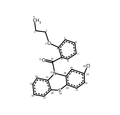 CCCOc1ccccc1C(=O)N1c2ccccc2Sc2ccc(Cl)cc21